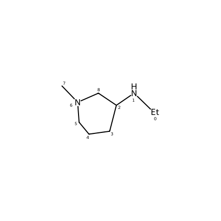 CCNC1CCCN(C)C1